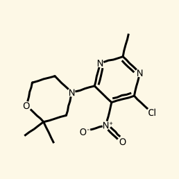 Cc1nc(Cl)c([N+](=O)[O-])c(N2CCOC(C)(C)C2)n1